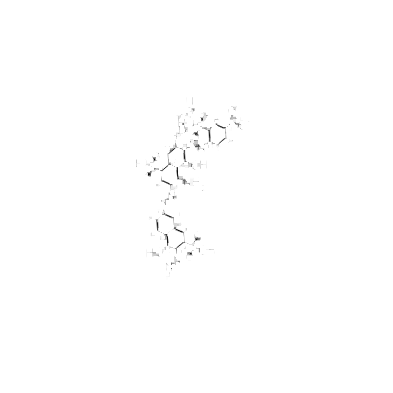 CN=Nc1c(S(=O)(=O)O)cc2cc(N=Nc3cc(S(=O)(=O)O)c4cc(SOOO)c(N=Nc5ccc([N+](=O)[O-])cc5S(=O)(=O)O)c(O)c4c3N)ccc2c1O